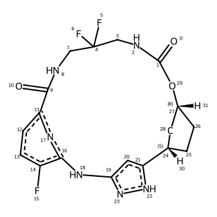 O=C1NCC(F)(F)CNC(=O)c2ccc(F)c(n2)Nc2cc([nH]n2)[C@H]2CC[C@H](C2)O1